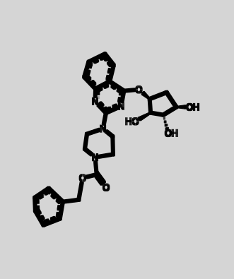 O=C(OCc1ccccc1)N1CCN(c2nc(O[C@H]3C[C@@H](O)[C@H](O)[C@H]3O)c3ccccc3n2)CC1